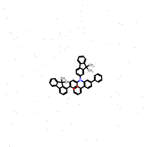 CC1(C)c2ccccc2-c2ccc(N(c3ccc(-c4cccc5c4C(C)(C)c4ccccc4-5)cc3)c3cc(-c4ccccc4)ccc3-c3ccccc3)cc21